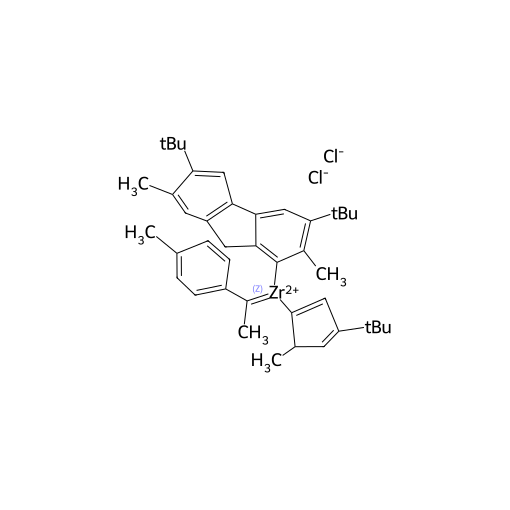 C/[C](c1ccc(C)cc1)=[Zr+2](\[C]1=CC(C(C)(C)C)=CC1C)[c]1c(C)c(C(C)(C)C)cc2c1Cc1cc(C)c(C(C)(C)C)cc1-2.[Cl-].[Cl-]